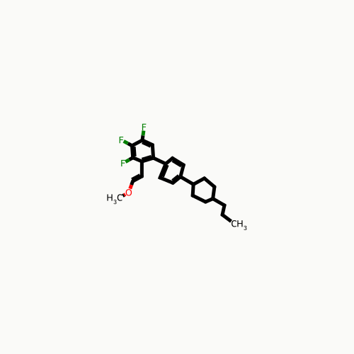 CCCC1CCC(c2ccc(-c3cc(F)c(F)c(F)c3C=COC)cc2)CC1